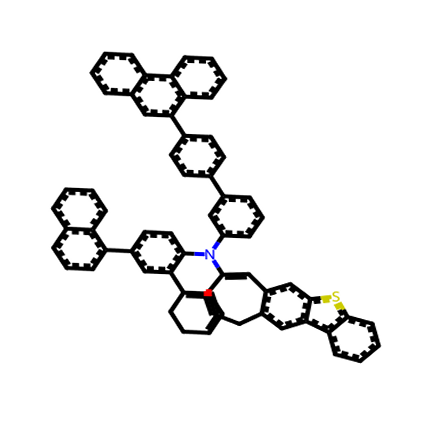 C1#CC(N(c2cccc(-c3ccc(-c4cc5ccccc5c5ccccc45)cc3)c2)c2ccc(-c3cccc4ccccc34)cc2C2=CC=CCC2)=Cc2cc3sc4ccccc4c3cc2C1